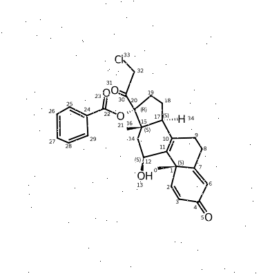 C[C@]12C=CC(=O)C=C1CCC1=C2[C@@H](O)C[C@@]2(C)[C@H]1CC[C@]2(OC(=O)c1ccccc1)C(=O)CCl